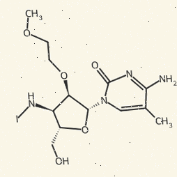 COCCO[C@@H]1[C@H](NI)[C@@H](CO)O[C@H]1n1cc(C)c(N)nc1=O